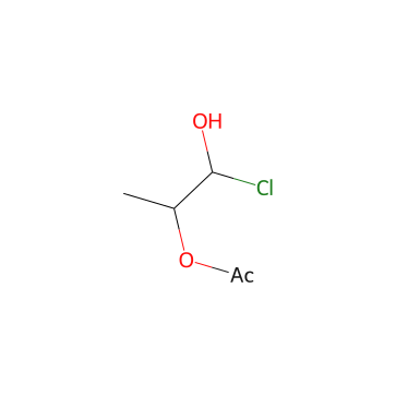 CC(=O)OC(C)C(O)Cl